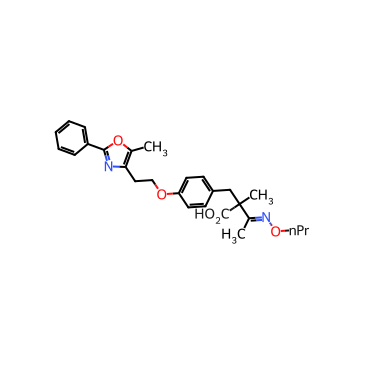 CCCON=C(C)C(C)(Cc1ccc(OCCc2nc(-c3ccccc3)oc2C)cc1)C(=O)O